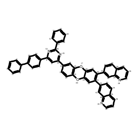 c1ccc(-c2ccc(-c3cc(-c4ccc5c(c4)Oc4cc(-c6ccc7cccnc7c6)c(-c6ccc7cccnc7c6)cc4O5)nc(-c4ccccc4)n3)cc2)cc1